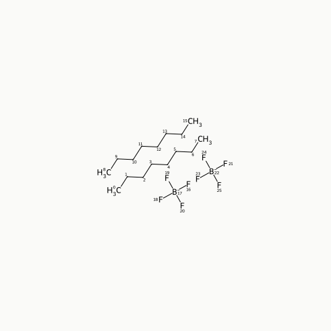 CCCCCCCC.CCCCCCCC.F[B-](F)(F)F.F[B-](F)(F)F